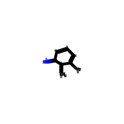 C=C1C(=N)C=CC=C1C(C)C